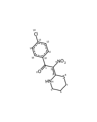 O=C(C(=C1NCCCS1)[N+](=O)[O-])c1ccc(Cl)cc1